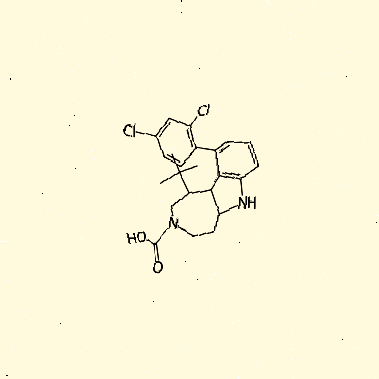 CC(C)(C)C1CN(C(=O)O)CCC2Nc3cccc(-c4ccc(Cl)cc4Cl)c3C21